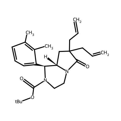 C=CCC1(CC=C)C[C@H]2[C@H](c3cccc(C)c3C)N(C(=O)OC(C)(C)C)CCN2C1=O